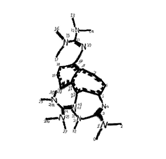 CN(C)C(=Nc1ccc2c(N=C(N(C)C)N(C)C)cccc2c1N=C(N(C)C)N(C)C)N(C)C